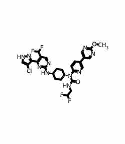 COc1ncc(-c2ccc(N(C(=O)NCC(F)F)[C@H]3CC[C@H](Nc4ncc(C(F)F)c(-c5n[nH]cc5Cl)n4)CC3)nc2)cn1